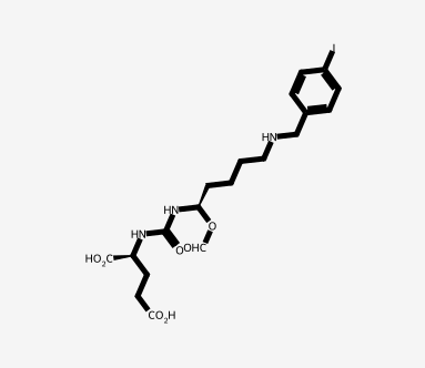 O=CO[C@H](CCCCNCc1ccc(I)cc1)NC(=O)N[C@@H](CCC(=O)O)C(=O)O